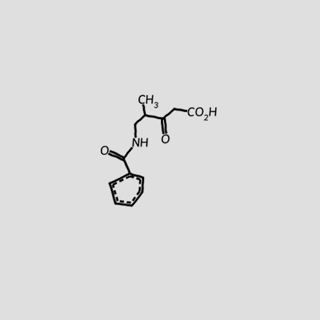 CC(CNC(=O)c1ccccc1)C(=O)CC(=O)O